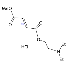 CCN(CC)CCOC(=O)/C=C/C(=O)OC.Cl